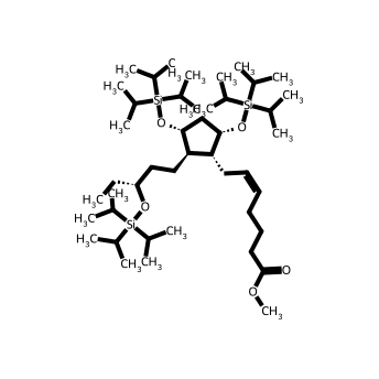 CC[C@H](CC[C@@H]1[C@@H](C/C=C\CCCC(=O)OC)[C@@H](O[Si](C(C)C)(C(C)C)C(C)C)C[C@H]1O[Si](C(C)C)(C(C)C)C(C)C)O[Si](C(C)C)(C(C)C)C(C)C